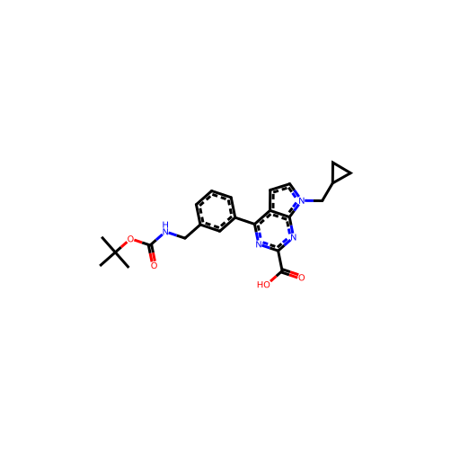 CC(C)(C)OC(=O)NCc1cccc(-c2nc(C(=O)O)nc3c2ccn3CC2CC2)c1